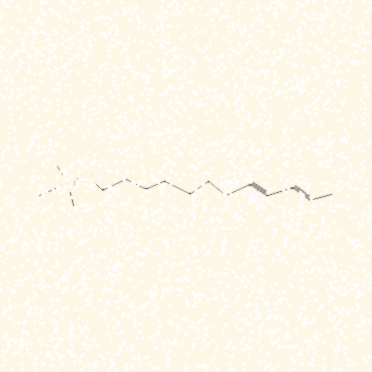 CC=C/C=C/CCCCCCCO[Si](C)(C)C